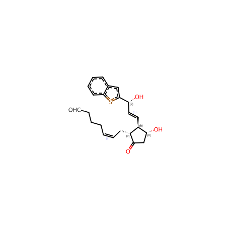 O=CCCC/C=C\C[C@H]1C(=O)C[C@@H](O)[C@@H]1/C=C/[C@@H](O)c1cc2ccccc2s1